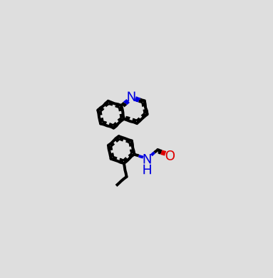 CCc1ccccc1NC=O.c1ccc2ncccc2c1